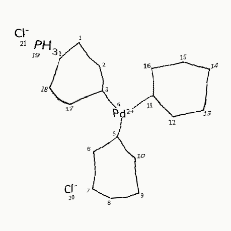 C1CC[CH]([Pd+2]([CH]2CCCCC2)[CH]2CCCCC2)CC1.P.[Cl-].[Cl-]